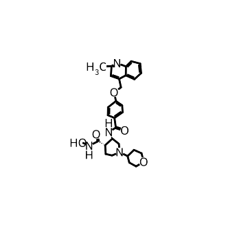 Cc1cc(COc2ccc(C(=O)N[C@@H]3CN(C4CCOCC4)CC[C@@H]3C(=O)NO)cc2)c2ccccc2n1